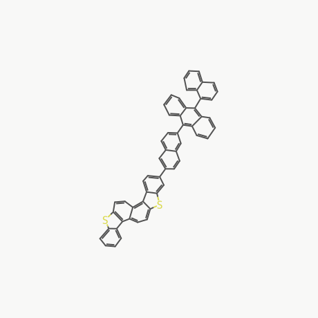 c1ccc2c(-c3c4ccccc4c(-c4ccc5cc(-c6ccc7c(c6)sc6ccc8c(ccc9sc%10ccccc%10c98)c67)ccc5c4)c4ccccc34)cccc2c1